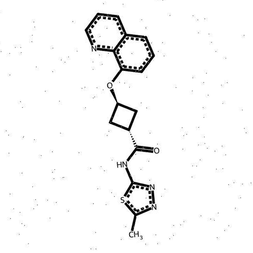 Cc1nnc(NC(=O)[C@H]2C[C@H](Oc3cccc4cccnc34)C2)s1